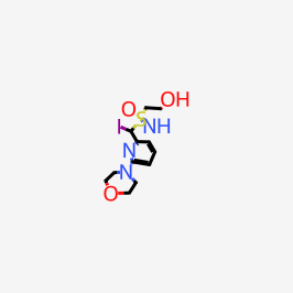 N=S(=O)(CCO)C(I)c1cccc(N2CCOCC2)n1